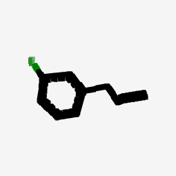 C=CCc1[c]ccc(F)c1